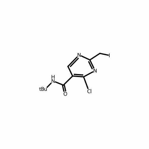 CC(C)(C)NC(=O)c1cnc(CI)nc1Cl